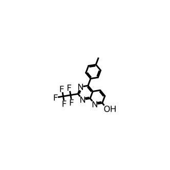 Cc1ccc(-c2nc(C(F)(F)C(F)(F)F)nc3nc(O)ccc23)cc1